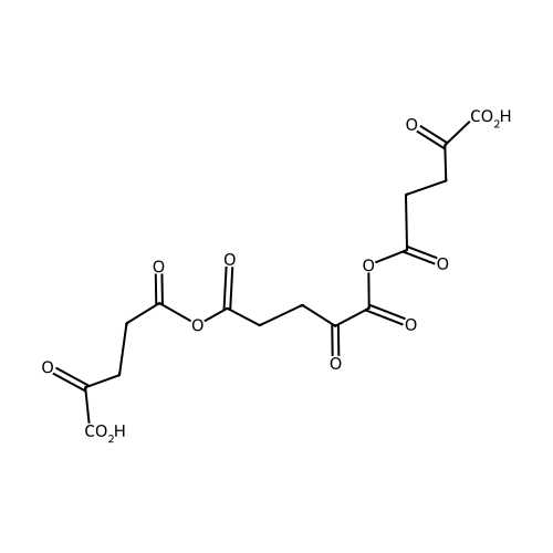 O=C(CCC(=O)C(=O)O)OC(=O)CCC(=O)C(=O)OC(=O)CCC(=O)C(=O)O